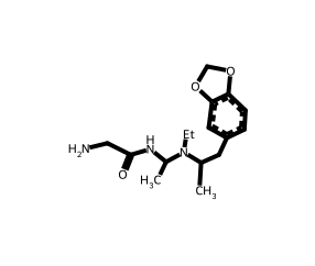 CCN(C(C)Cc1ccc2c(c1)OCO2)C(C)NC(=O)CN